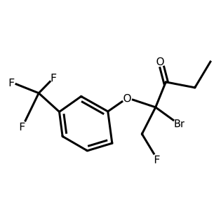 CCC(=O)C(Br)(CF)Oc1cccc(C(F)(F)F)c1